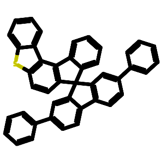 c1ccc(-c2ccc3c(c2)C2(c4cc(-c5ccccc5)ccc4-3)c3ccccc3-c3c2ccc2sc4ccccc4c32)cc1